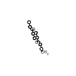 CC1CCC(c2ccc(CC(=O)c3ccc4c5cccc6c(C(=O)Cc7ccc(C8CCCCC8)cc7)ccc(c7cccc3c74)c65)cc2)CC1